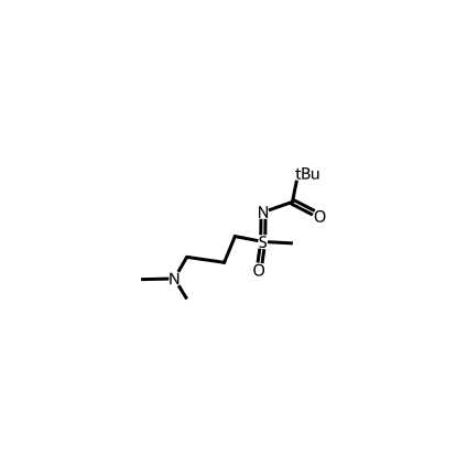 CN(C)CCCS(C)(=O)=NC(=O)C(C)(C)C